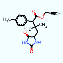 C#CCOC(=O)C(c1ccc(C)cc1)C(C)(C)CC1NC(=O)NC1=O